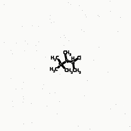 CN([SiH](C)Cl)[Si](C)(C)C